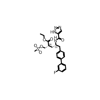 CCOC(=O)[C@@H](COS(C)(=O)=O)C[C@@H](Cc1ccc(-c2cccc(F)c2)cc1)NC(=O)c1cnn[nH]1